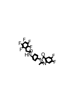 Cc1nc2cc(F)c(F)cc2c(=O)n1-c1ccc(NC(=O)Cc2c(F)c(F)c(F)c(F)c2F)cc1